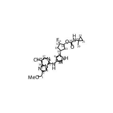 COCc1cn2c(Nc3cc([C@H]4C[C@@H](F)[C@@H](OC(=O)NC5(C)CC5)C4)[nH]n3)ncc(Cl)c2n1